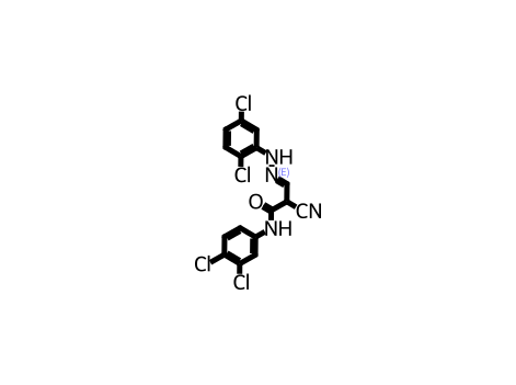 N#CC(/C=N/Nc1cc(Cl)ccc1Cl)C(=O)Nc1ccc(Cl)c(Cl)c1